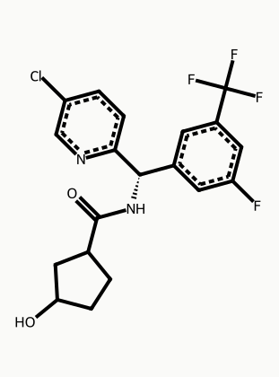 O=C(N[C@@H](c1cc(F)cc(C(F)(F)F)c1)c1ccc(Cl)cn1)C1CCC(O)C1